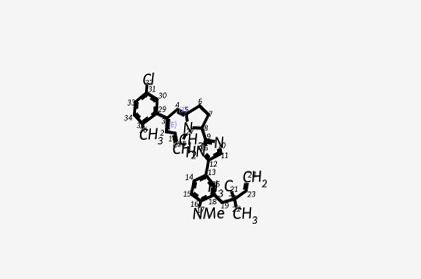 C=C/C=C(\C=C1\CCC(c2ncc(-c3ccc(NC)c(CC(C)(C)C=C)c3)[nH]2)N1C)c1cc(Cl)ccc1C